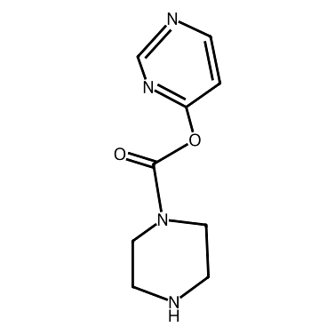 O=C(Oc1ccncn1)N1CCNCC1